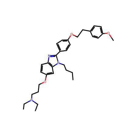 CCCCn1c(-c2ccc(OCCc3ccc(OC)cc3)cc2)nc2ccc(OCCCN(CC)CC)cc21